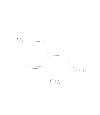 COSC(CC(=O)O)C(=O)OC